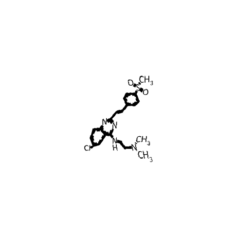 CN(C)CCNc1nc(C=Cc2ccc(S(C)(=O)=O)cc2)nc2ccc(Cl)cc12